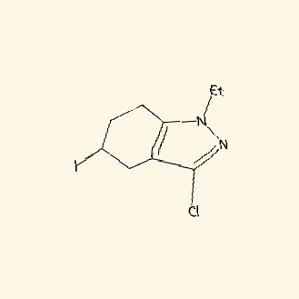 CCn1nc(Cl)c2c1CCC(I)C2